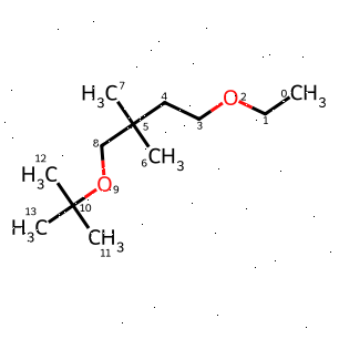 CCOCCC(C)(C)COC(C)(C)C